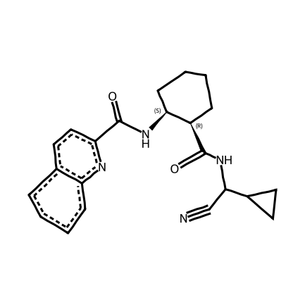 N#CC(NC(=O)[C@@H]1CCCC[C@@H]1NC(=O)c1ccc2ccccc2n1)C1CC1